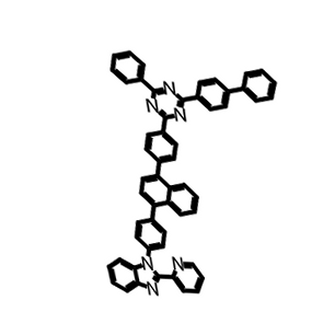 c1ccc(-c2ccc(-c3nc(-c4ccccc4)nc(-c4ccc(-c5ccc(-c6ccc(-n7c(-c8ccccn8)nc8ccccc87)cc6)c6ccccc56)cc4)n3)cc2)cc1